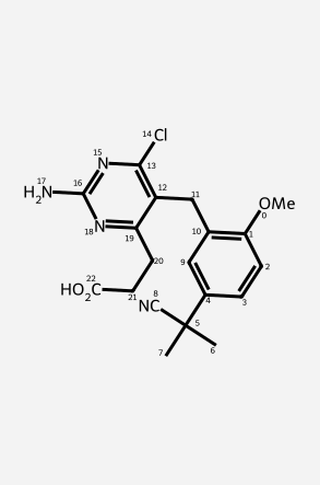 COc1ccc(C(C)(C)C#N)cc1Cc1c(Cl)nc(N)nc1CCC(=O)O